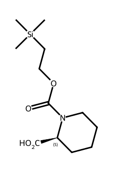 C[Si](C)(C)CCOC(=O)N1CCCC[C@H]1C(=O)O